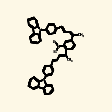 CCN(CC)c1cc(C(C)=CC=Cc2ccc(-n3c4ccccc4c4ccccc43)cc2)ccc1C(C)=CC=Cc1ccc(-n2c3ccccc3c3ccccc32)cc1